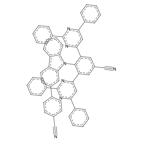 N#Cc1ccc(-c2ccc3c4ccccc4n(-c4c(-c5cc(-c6ccccc6)nc(-c6ccccc6)n5)cc(C#N)cc4-c4cc(-c5ccccc5)nc(-c5ccccc5)n4)c3c2)cc1